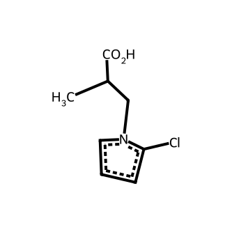 CC(Cn1cccc1Cl)C(=O)O